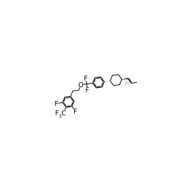 C/C=C/[C@H]1CC[C@H](c2ccc(C(F)(F)OCCc3cc(F)c(C(F)(F)F)c(F)c3)cc2)CC1